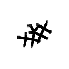 O=S(O)(O)(C(F)(F)C(F)(F)F)C(F)(F)C(F)(F)F